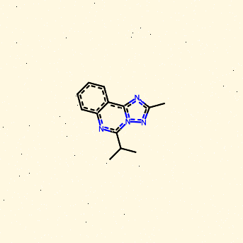 Cc1nc2c3ccccc3nc(C(C)C)n2n1